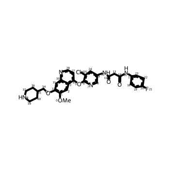 COc1cc2c(Oc3ncc(NC(=O)CC(=O)Nc4ccc(F)cc4)cc3Cl)ccnc2cc1OCC1CCNCC1